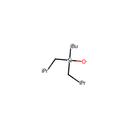 CCC(C)[Si]([O])(CC(C)C)CC(C)C